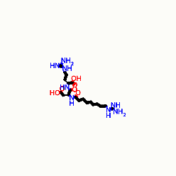 N=C(N)NCCCCCCCCC(=O)N[C@@H](CC(=O)O)C(=O)N[C@@H](CCCNC(=N)N)C(=O)O